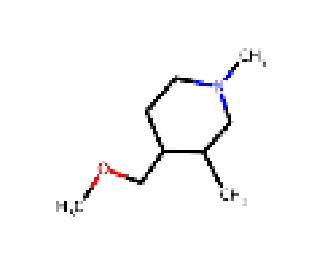 COCC1CCN(C)CC1C